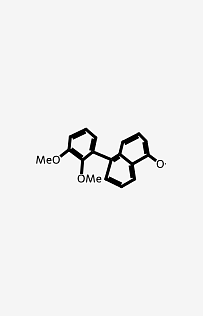 COc1cccc(-c2cccc3c([O])cccc23)c1OC